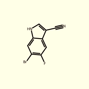 N#Cc1c[nH]c2cc(Br)c(F)cc12